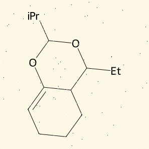 CCC1OC(C(C)C)OC2=CCCCC21